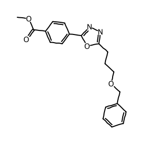 COC(=O)c1ccc(-c2nnc(CCCOCc3ccccc3)o2)cc1